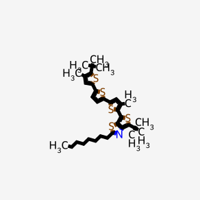 CCCCCCCCc1nc2c(C(C)(C)C)sc(-c3sc(-c4ccc(-c5cc(C)c(C(C)(C)C)s5)s4)cc3C)c2s1